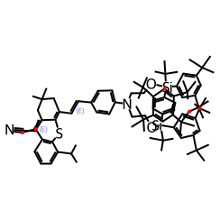 CC(C)c1cccc(C(C)C)c1SC1=C(/C=C/c2ccc(N(CCO[Si](c3cc(C(C)(C)C)cc(C(C)(C)C)c3)(c3cc(C(C)(C)C)cc(C(C)(C)C)c3)C(C)(C)C)CCO[Si](c3cc(C(C)(C)C)cc(C(C)(C)C)c3)(c3cc(C(C)(C)C)cc(C(C)(C)C)c3)C(C)(C)C)cc2)CC(C)(C)C/C1=C\C#N